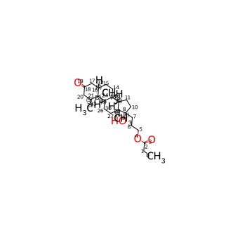 CCC(=O)OCCC[C@]1(O)CC[C@H]2[C@@H]3CC[C@H]4CC(=O)C[C@H](C)[C@]4(C)[C@H]3CC[C@@]21C